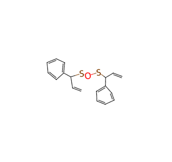 C=CC(SOSC(C=C)c1ccccc1)c1ccccc1